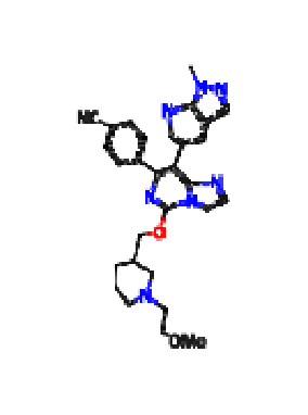 COCCN1CCCC(COc2nc(-c3ccc(C#N)cc3)c(-c3cnc4c(cnn4C)c3)c3nccn23)C1